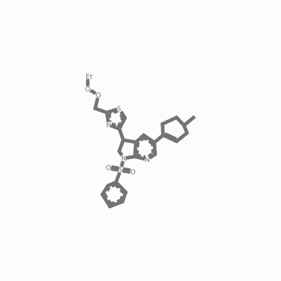 CCOOCc1nc(C2CN(S(=O)(=O)c3ccccc3)c3ncc(C4=CCC(C)CC4)cc32)cs1